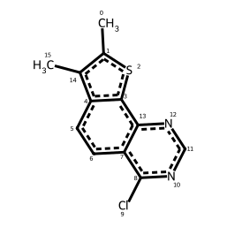 Cc1sc2c(ccc3c(Cl)ncnc32)c1C